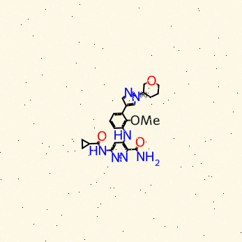 COc1c(Nc2cc(NC(=O)C3CC3)nnc2C(N)=O)cccc1-c1cnn([C@@H]2CCCOC2)c1